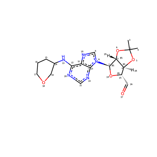 CC1(C)O[C@@H]2[C@@H](O1)[C@H](n1cnc3c(NC4CCCOC4)ncnc31)O[C@H]2C=O